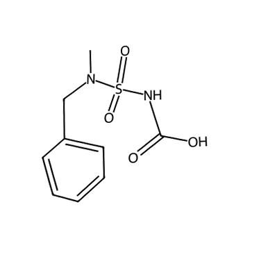 CN(Cc1ccccc1)S(=O)(=O)NC(=O)O